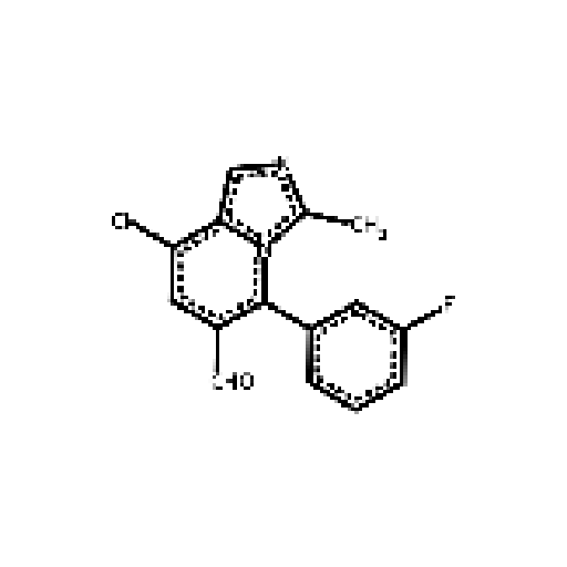 Cc1ncc2c(Cl)cc(C=O)c(-c3cccc(F)c3)n12